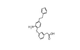 Nc1cc(CCc2ccccc2)ccc1Sc1cccc(CC(=O)O)c1